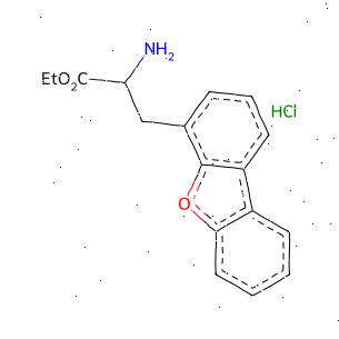 CCOC(=O)C(N)Cc1cccc2c1oc1ccccc12.Cl